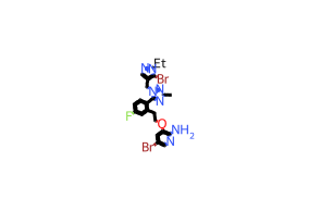 CCn1ncc(Cn2nc(C)nc2-c2ccc(F)cc2CCOc2cc(Br)cnc2N)c1Br